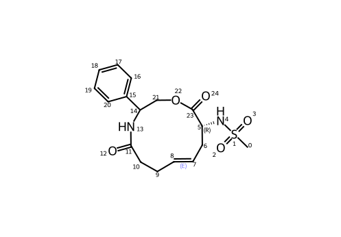 CS(=O)(=O)N[C@@H]1C/C=C/CCC(=O)NC(c2ccccc2)COC1=O